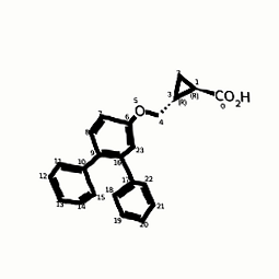 O=C(O)[C@@H]1C[C@H]1COc1ccc(-c2ccccc2)c(-c2ccccc2)c1